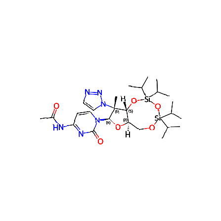 CC(=O)Nc1ccn([C@@H]2O[C@@H]3CO[Si](C(C)C)(C(C)C)O[Si](C(C)C)(C(C)C)O[C@H]3[C@@]2(C)n2ccnn2)c(=O)n1